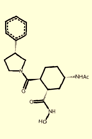 CC(=O)N[C@H]1CC[C@H](C(=O)N2CC[C@H](c3ccccc3)C2)[C@@H](C(=O)NO)C1